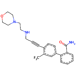 NC(=O)c1ccccc1-c1ccc(C#CCNCCN2CCOCC2)c(C(F)(F)F)c1